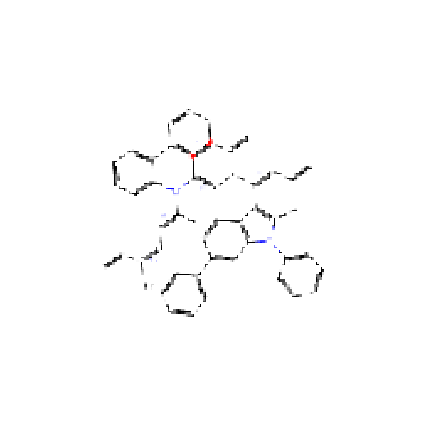 C=C/C=C\C(=C/C/C(=C/C=C)c1c(C)n(-c2ccccc2)c2cc(-c3ccccc3)ccc12)N(/C(C)=C/C=C(\C=C)C(C)C)c1ccccc1C1=CCCC=C1